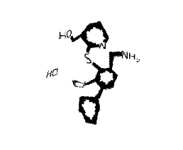 Cl.NCc1ccc(-c2ccccc2)c(Cl)c1Sc1ncccc1CO